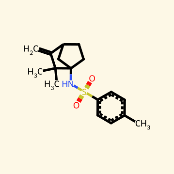 C=C1C2CCC(NS(=O)(=O)c3ccc(C)cc3)(C2)C1(C)C